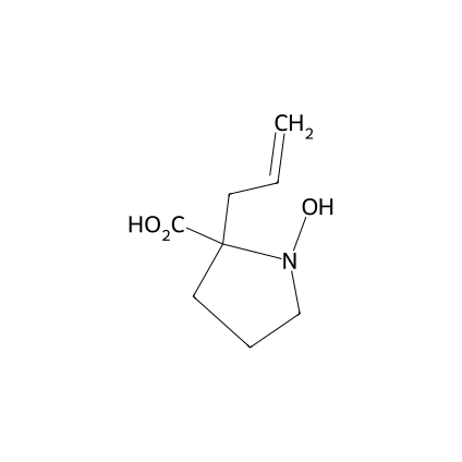 C=CCC1(C(=O)O)CCCN1O